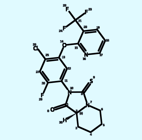 O=C1[C@@H]2CCCCN2C(=S)N1c1cc(Oc2ncccc2C(F)(F)F)c(Cl)cc1F